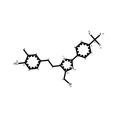 Cc1cc(CCc2sc(-c3ccc(C(F)(F)F)cc3)nc2CBr)ccc1O